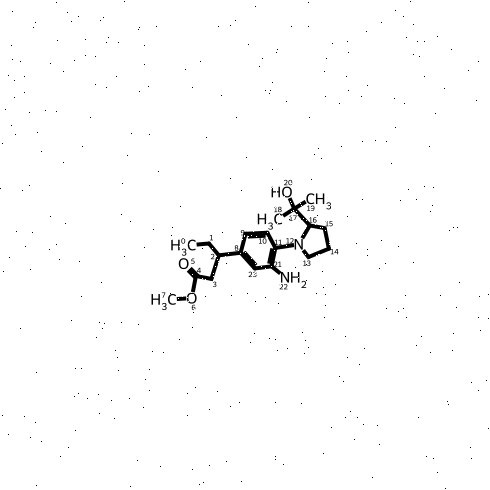 CCC(CC(=O)OC)c1ccc(N2CCCC2C(C)(C)O)c(N)c1